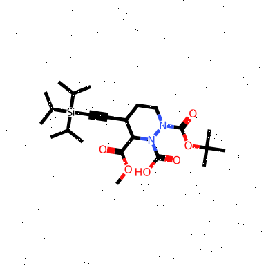 COC(=O)C1C(C#C[Si](C(C)C)(C(C)C)C(C)C)CCN(C(=O)OC(C)(C)C)N1C(=O)O